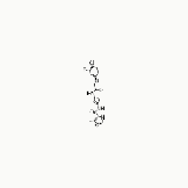 Cc1ocnc1C(=O)NC12CC(NC(=O)COc3ccc(Cl)c(F)c3)(C1)C2